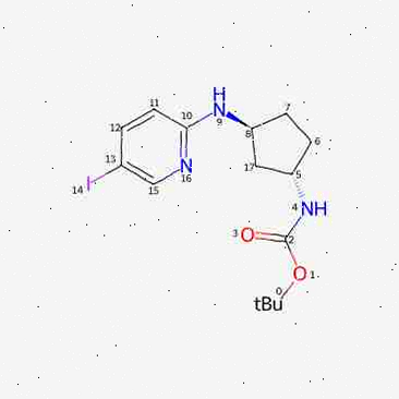 CC(C)(C)OC(=O)N[C@H]1CC[C@H](Nc2ccc(I)cn2)C1